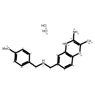 COc1ccc(CNCc2ccc3c(c2)NC(N)=C(C)O3)cc1.Cl.Cl